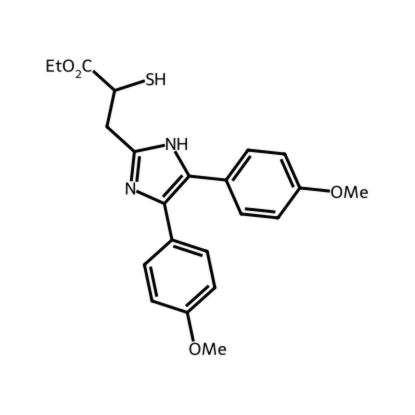 CCOC(=O)C(S)Cc1nc(-c2ccc(OC)cc2)c(-c2ccc(OC)cc2)[nH]1